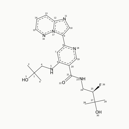 CC(C)(O)CNc1cc(-c2cnc3cccnn23)ncc1C(=O)NC[C@@H](F)C(C)(C)O